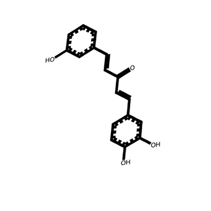 O=C(/C=C/c1cccc(O)c1)/C=C/c1ccc(O)c(O)c1